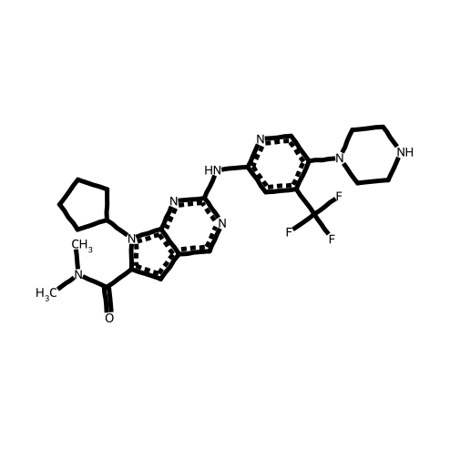 CN(C)C(=O)c1cc2cnc(Nc3cc(C(F)(F)F)c(N4CCNCC4)cn3)nc2n1C1CCCC1